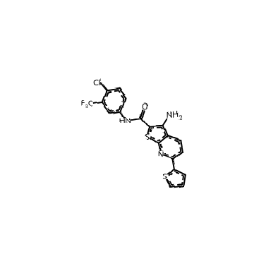 Nc1c(C(=O)Nc2ccc(Cl)c(C(F)(F)F)c2)sc2nc(-c3cccs3)ccc12